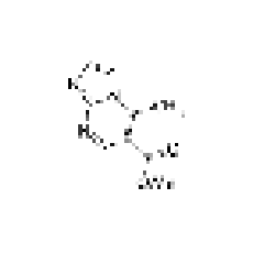 COC(=O)c1cnc2nccn2c1C